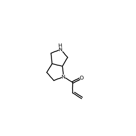 C=CC(=O)N1CCC2CNCC21